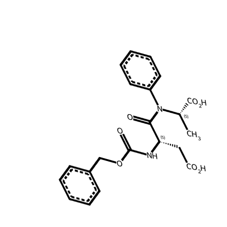 C[C@@H](C(=O)O)N(C(=O)[C@H](CC(=O)O)NC(=O)OCc1ccccc1)c1ccccc1